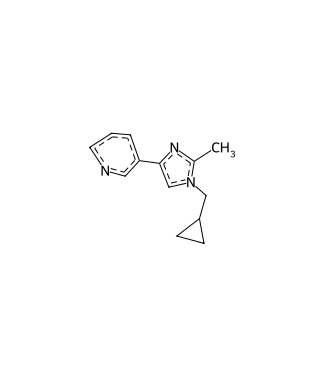 Cc1nc(-c2cccnc2)cn1CC1CC1